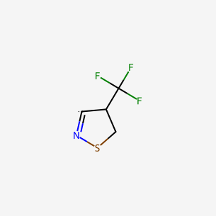 FC(F)(F)C1[C]=NSC1